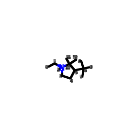 CCN1CCC(C(C)(C)C)C1(C)C